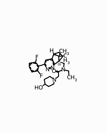 CCN(C[C@@]12CC[C@@H](c3cc(-c4c(F)cccc4F)nnc31)C2(C)C)C(=O)CN1CCC(O)CC1